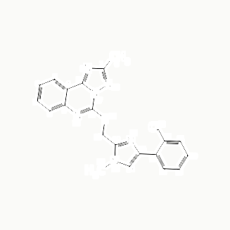 Cc1nc2c3ccccc3nc(SCc3nc(-c4ccccc4Cl)cn3C)n2n1